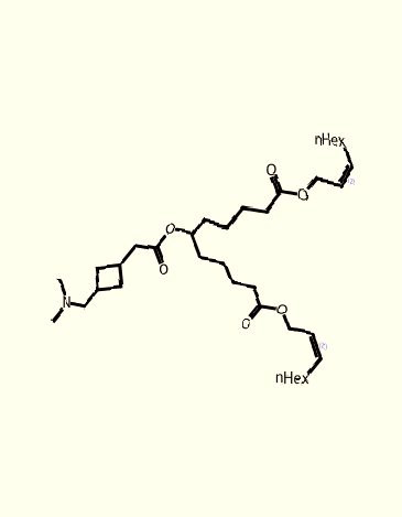 CCCCCC/C=C\COC(=O)CCCCC(CCCCC(=O)OC/C=C\CCCCCC)OC(=O)CC1CC(CN(C)C)C1